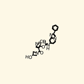 Cn1ncc(C(=O)N2CC(O)C2)c1OC(=O)Nc1ccn2cc(-c3ccccc3)nc2c1